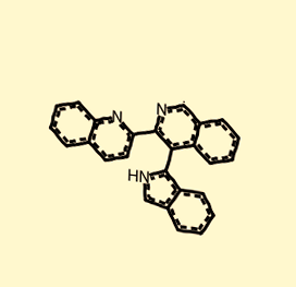 [c]1nc(-c2ccc3ccccc3n2)c(-c2[nH]cc3ccccc23)c2ccccc12